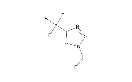 FCN1[C]=NC(C(F)(F)F)[CH]1